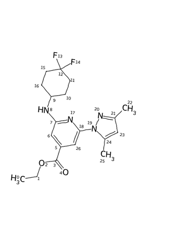 CCOC(=O)c1cc(NC2CCC(F)(F)CC2)nc(-n2nc(C)cc2C)c1